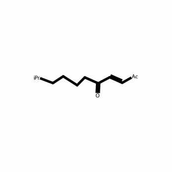 CC(=O)/C=C/C(=O)CCCCC(C)C